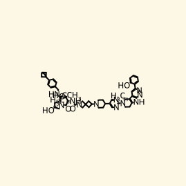 C[C@@H]1c2c([nH]c3nnc(-c4ccccc4O)cc23)CCN1c1ncc(C2CCN(C3CC4(C3)CN(C(=O)N[C@H](C(=O)N3C[C@H](O)C[C@H]3C(=O)NCc3ccc(C56CC(C5)C6)cc3)C(C)(C)C)C4)CC2)cn1